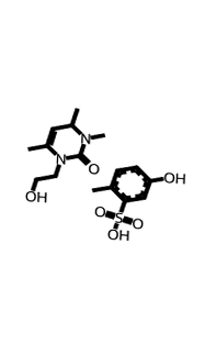 CC1=CC(C)N(C)C(=O)N1CCO.Cc1ccc(O)cc1S(=O)(=O)O